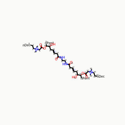 CCCCCCCCCCCC[N+](C)(C)CC(=O)OC(CCCCC)C(O)C/C=C/CC(=O)NCCNC(=O)C/C=C/CC(O)C(CCCCC)OC(=O)C[N+](C)(C)CCCCCCCCCCCC